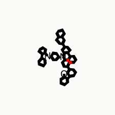 c1ccc(-c2ccc(-c3ccc4ccccc4c3)cc2N(c2ccc(-c3cccc4c3oc3ccccc34)cc2)c2ccc(-n3c4ccccc4c4ccccc43)cc2)cc1